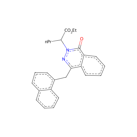 CCCC(C(=O)OCC)n1nc(Cc2cccc3ccccc23)c2ccccc2c1=O